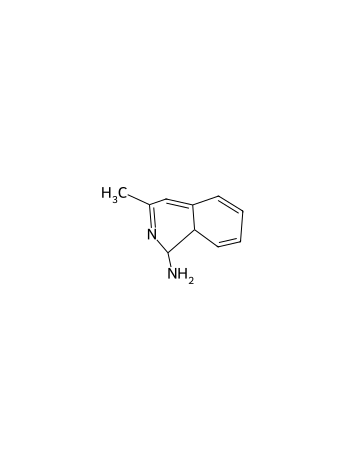 CC1=NC(N)C2C=CC=CC2=C1